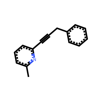 Cc1cccc(C#CCc2ccccc2)n1